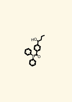 CCCC(O)c1ccc(C(=O)N(c2ccccc2)c2ccccc2)cc1